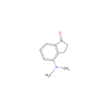 CN(C)c1cccc2c1CCC2=O